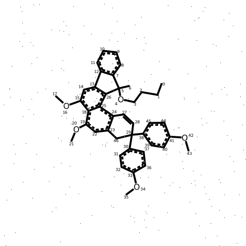 CCCCOC1(C)c2ccccc2-c2cc(OC)c3c(OC)cc4c(c3c21)C=CC(c1ccc(OC)cc1)(c1ccc(OC)cc1)C4